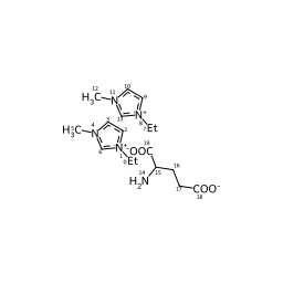 CC[n+]1ccn(C)c1.CC[n+]1ccn(C)c1.NC(CCC(=O)[O-])C(=O)[O-]